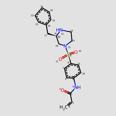 C=CC(=O)Nc1ccc(S(=O)(=O)N2CCN[C@H](Cc3ccccc3)C2)cc1